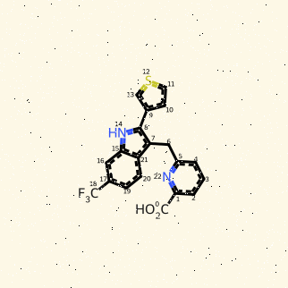 O=C(O)c1cccc(Cc2c(-c3ccsc3)[nH]c3cc(C(F)(F)F)ccc23)n1